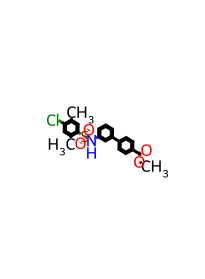 COC(=O)c1ccc(-c2cccc(NS(=O)(=O)c3cc(C)c(Cl)cc3C)c2)cc1